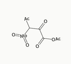 CC(=O)OC(=O)C(=O)[CH](C(C)=O)[Mo](=[O])=[O]